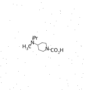 CC(C)N(C)C1CCN(C(=O)O)CC1